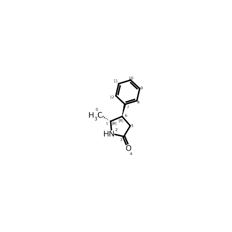 C[C@H]1NC(=O)C[C@@H]1c1ccccc1